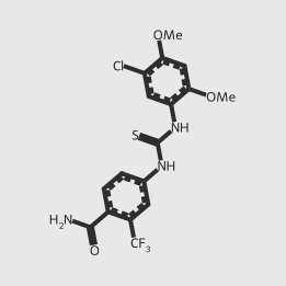 COc1cc(OC)c(NC(=S)Nc2ccc(C(N)=O)c(C(F)(F)F)c2)cc1Cl